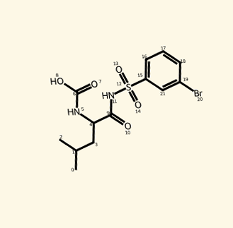 CC(C)CC(NC(=O)O)C(=O)NS(=O)(=O)c1cccc(Br)c1